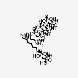 NCCCCCCN.NCCN.O=P(O)(O)CP(=O)(O)O.O=P(O)(O)CP(=O)(O)O.O=P(O)(O)CP(=O)(O)O.O=P(O)(O)CP(=O)(O)O